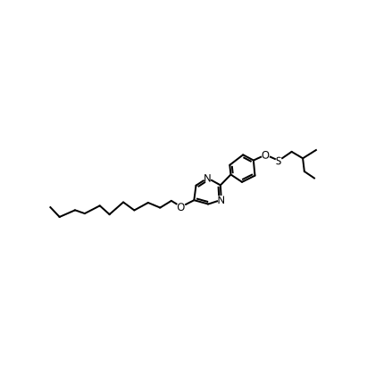 CCCCCCCCCCCOc1cnc(-c2ccc(OSCC(C)CC)cc2)nc1